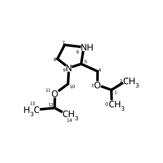 CC(C)OCC1NCCN1COC(C)C